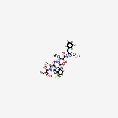 CCCC(NC(=O)[C@@H]1[C@H]2CCC(F)(F)[C@H]2CN1C(=O)[C@@H](NC(=O)[C@@H](O)C(C)C)C(C)C)C(=O)C(=O)NC(Cc1ccccc1)C(=O)O